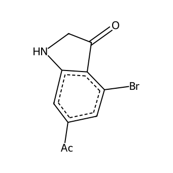 CC(=O)c1cc(Br)c2c(c1)NCC2=O